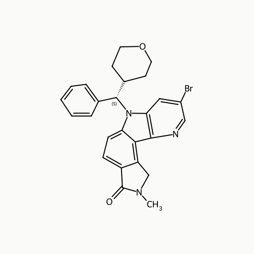 CN1Cc2c(ccc3c2c2ncc(Br)cc2n3[C@H](c2ccccc2)C2CCOCC2)C1=O